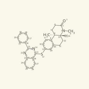 CN1C(=O)CC[C@]2(C)c3ccc(Sc4nc(-c5ccccc5)nc5ccccc45)cc3CC[C@@H]12